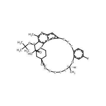 Cc1nc2cc3nn2c(c1[C@H](OC(C)(C)C)C(=O)O)N1CCC(C)(CC1)OCCCC[C@H](C)Oc1cc(F)ccc1CCC3